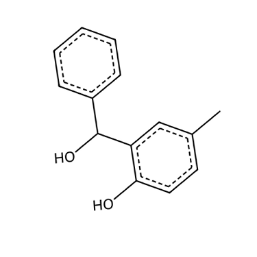 Cc1ccc(O)c(C(O)c2ccccc2)c1